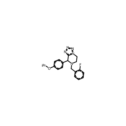 CC(C)Oc1ccc(C2c3nnnn3CCN2Cc2ccccc2F)cc1